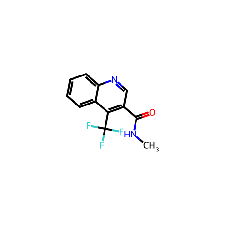 CNC(=O)c1cnc2ccccc2c1C(F)(F)F